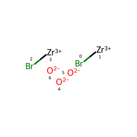 [Br][Zr+3].[Br][Zr+3].[O-2].[O-2].[O-2]